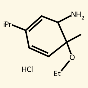 CCOC1(C)C=CC(C(C)C)=CC1N.Cl